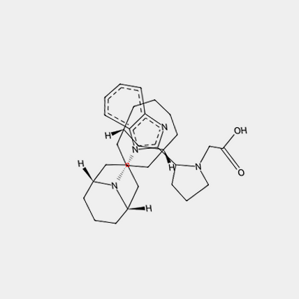 O=C(O)CN1CCCC1c1nc2ccccc2n1[C@H]1C[C@H]2CCC[C@@H](C1)N2[C@@H]1C[C@@H]2CCCC[C@@H](C2)C1